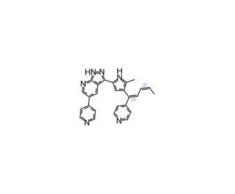 C/C=C\C=C(\c1ccncc1)c1cc(-c2n[nH]c3ncc(-c4ccncc4)cc23)[nH]c1C